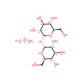 O.O.O.OC[C@H]1O[C@H](O[C@H]2O[C@H](CO)[C@@H](O)[C@H](O)[C@H]2O)[C@H](O)[C@@H](O)[C@@H]1O